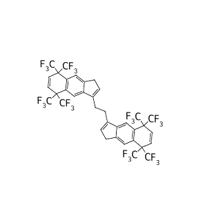 FC(F)(F)C1(C(F)(F)F)C=CC(C(F)(F)F)(C(F)(F)F)c2cc3c(cc21)CC=C3CCC1=CCc2cc3c(cc21)C(C(F)(F)F)(C(F)(F)F)C=CC3(C(F)(F)F)C(F)(F)F